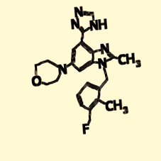 Cc1c(CF)cccc1Cn1c(C)nc2c(-c3nnc[nH]3)cc(N3CCOCC3)cc21